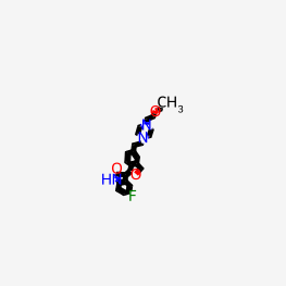 CCOCCN1CCN(CCc2ccc3c(c2)COC3=C2C(=O)Nc3ccc(F)cc32)CC1